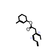 C=C/C=C\C(=C/C)CC(=O)OC1C=C(C)CCC1